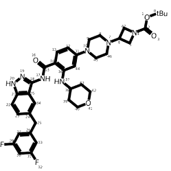 CC(C)(C)OC(=O)N1CC(N2CCN(c3ccc(C(=O)Nc4n[nH]c5ccc(Cc6cc(F)cc(F)c6)cc45)c(NC4CCOCC4)c3)CC2)C1